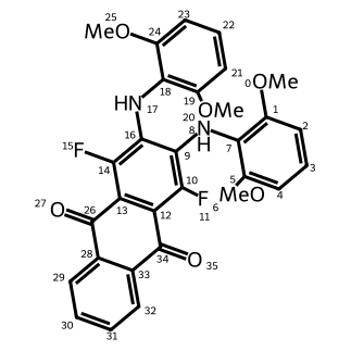 COc1cccc(OC)c1Nc1c(F)c2c(c(F)c1Nc1c(OC)cccc1OC)C(=O)c1ccccc1C2=O